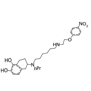 CCCN(CCCCCCNCCOc1ccc([N+](=O)[O-])cc1)C1CCc2c(ccc(O)c2O)C1